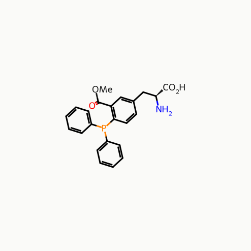 COC(=O)c1cc(C[C@H](N)C(=O)O)ccc1P(c1ccccc1)c1ccccc1